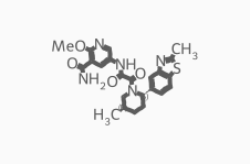 COc1ncc(NC(=O)C(=O)N2C[C@H](C)CC[C@H]2c2ccc3sc(C)nc3c2)cc1C(N)=O